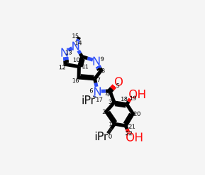 CC(C)c1cc(C(=O)N(c2cnc3c(cnn3C)c2)C(C)C)c(O)cc1O